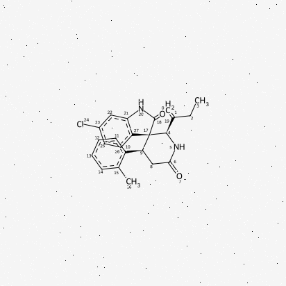 C=C(CC)[C@H]1NC(=O)C[C@@H](c2ccccc2C)[C@]12C(=O)Nc1cc(Cl)ccc12